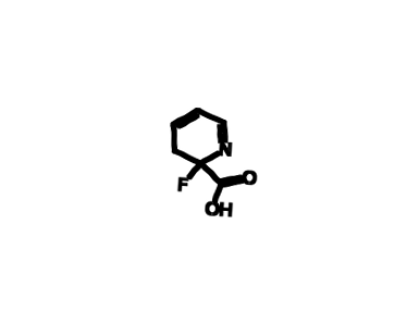 O=C(O)C1(F)CC=CC=N1